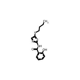 CCCCSc1cnc(NC(=O)c2ccccc2O)s1